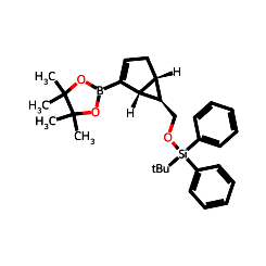 CC1(C)OB(C2=CC[C@@H]3[C@@H](CO[Si](c4ccccc4)(c4ccccc4)C(C)(C)C)[C@H]23)OC1(C)C